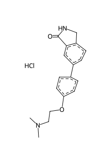 CN(C)CCOc1ccc(-c2ccc3c(c2)C(=O)NC3)cc1.Cl